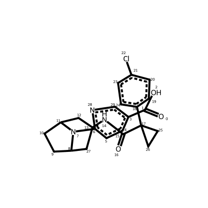 O=C(O)c1ccc(N2C3CCC2CC(NC(=O)C2(c4ccc(Cl)cc4)CC2)C3)nc1